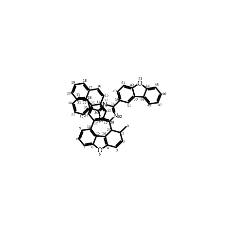 CC1C=Cc2oc3cccc(-c4ccc5ccc6ccccc6c5c4)c3c2C1c1nc(-c2ccccc2)nc(-c2ccc3oc4ccccc4c3c2)n1